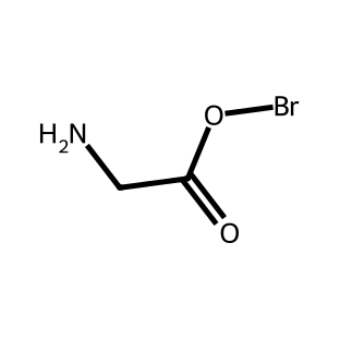 NCC(=O)OBr